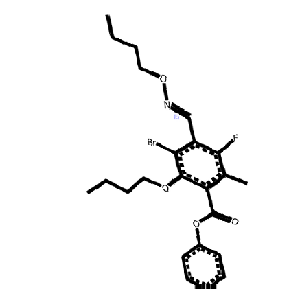 CCCCO/N=C/c1c(F)c(C)c(C(=O)Oc2ccccc2)c(OCCCC)c1Br